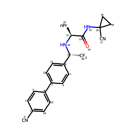 [C-]#[N+]c1ccc(-c2ccc([C@H](N[C@@H](CCC)C(=O)NC3(C#N)CC3)C(F)(F)F)cc2)cc1